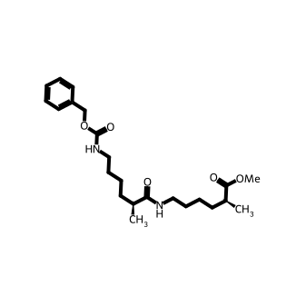 COC(=O)[C@@H](C)CCCCNC(=O)[C@@H](C)CCCCNC(=O)OCc1ccccc1